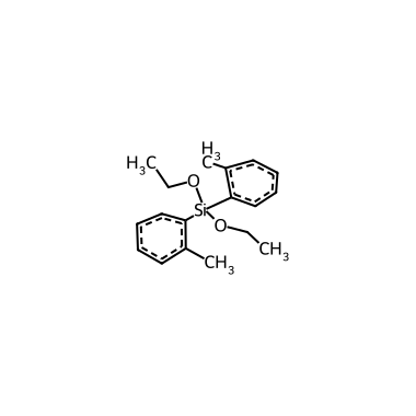 CCO[Si](OCC)(c1ccccc1C)c1ccccc1C